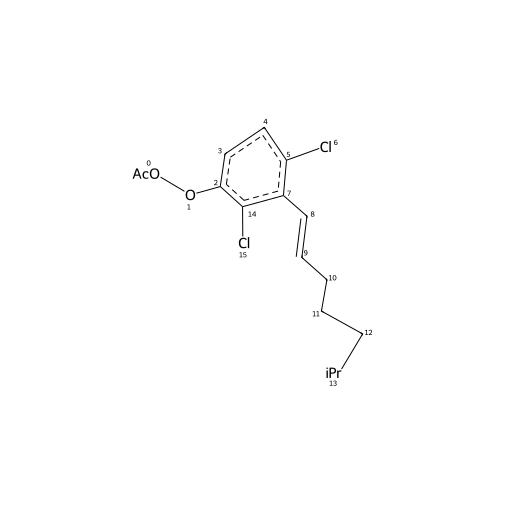 CC(=O)OOc1ccc(Cl)c(C=CCCCC(C)C)c1Cl